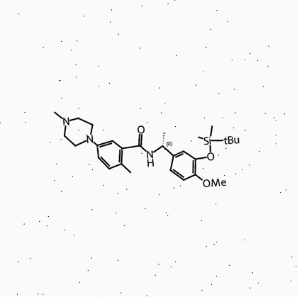 COc1ccc([C@@H](C)NC(=O)c2cc(N3CCN(C)CC3)ccc2C)cc1O[Si](C)(C)C(C)(C)C